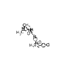 Cc1cc(NC(=O)NCCN2CCC(N(C)C(=O)C3(c4ccc(Cl)cc4)CC3)CC2)cc(C)n1